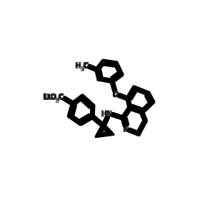 CCOC(=O)c1ccc(C2(NC3=NCCc4cccc(Oc5cccc(C)c5)c43)CC2)cc1